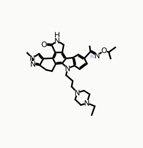 CCN1CCN(CCCn2c3ccc(/C(C)=N/OC(C)C)cc3c3c4c(c5c(c32)CCc2nn(C)cc2-5)C(=O)NC4)CC1